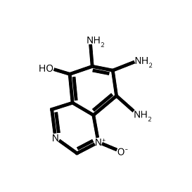 Nc1c(N)c(N)c2c(cnc[n+]2[O-])c1O